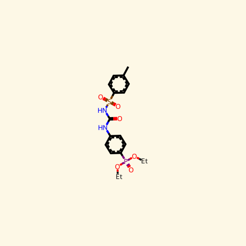 CCOP(=O)(OCC)c1ccc(NC(=O)NS(=O)(=O)c2ccc(C)cc2)cc1